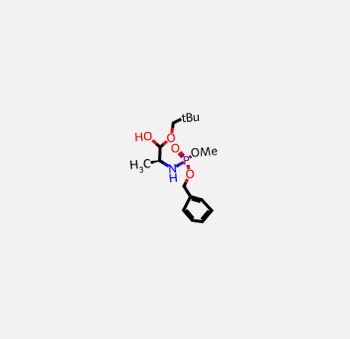 COP(=O)(N[C@@H](C)C(O)OCC(C)(C)C)OCc1ccccc1